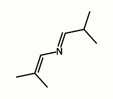 CC(C)=CN=CC(C)C